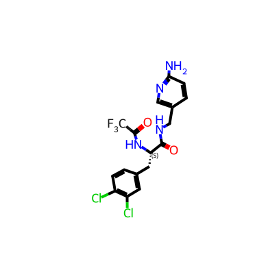 Nc1ccc(CNC(=O)[C@H](Cc2ccc(Cl)c(Cl)c2)NC(=O)C(F)(F)F)cn1